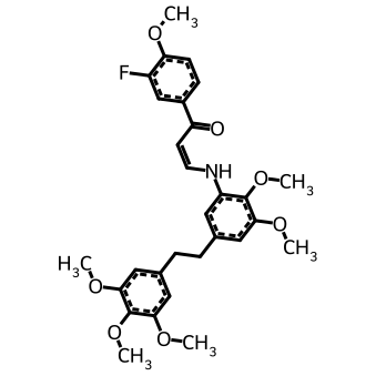 COc1ccc(C(=O)/C=C\Nc2cc(CCc3cc(OC)c(OC)c(OC)c3)cc(OC)c2OC)cc1F